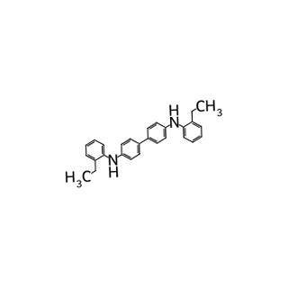 CCc1ccccc1Nc1ccc(-c2ccc(Nc3ccccc3CC)cc2)cc1